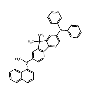 CN(c1ccc2c(c1)C(C)(C)c1cc(N(c3ccccc3)c3ccccc3)ccc1-2)c1cccc2ccccc12